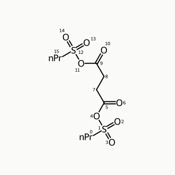 CCCS(=O)(=O)OC(=O)CCC(=O)OS(=O)(=O)CCC